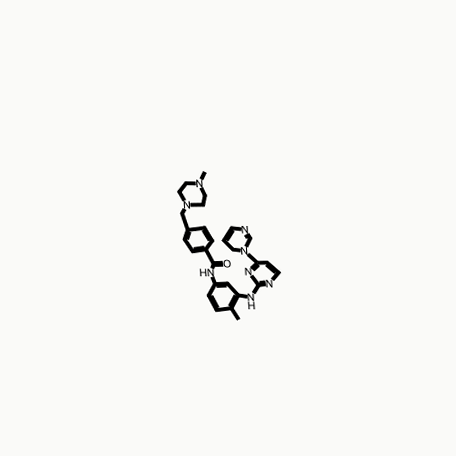 Cc1ccc(NC(=O)c2ccc(CN3CCN(C)CC3)cc2)cc1Nc1nccc(N2C=NC=CC2)n1